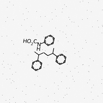 CC(CCC(C)c1ccccc1)c1ccccc1.O=C(O)Nc1ccccc1